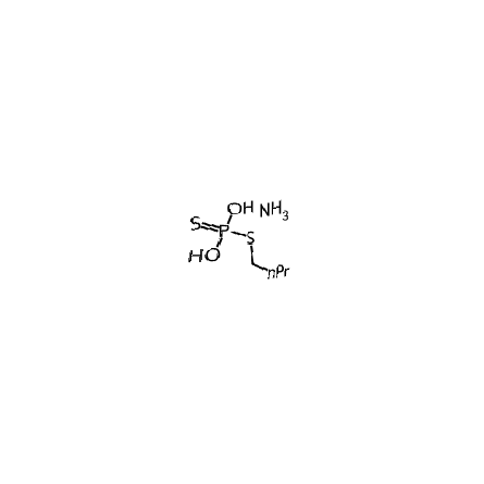 CCCCSP(O)(O)=S.N